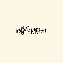 Cc1cc(-c2nc3cnc(Oc4cccc(Cl)c4)nc3o2)ccc1CCC(=O)N1CCC[C@H]1C(=O)O